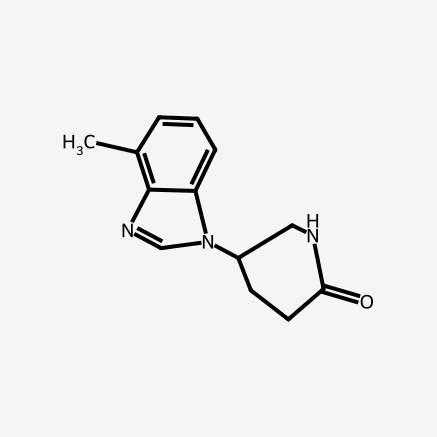 Cc1cccc2c1ncn2C1CCC(=O)NC1